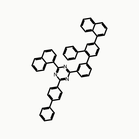 c1ccc(-c2ccc(-c3nc(-c4cccc(-c5ccc(-c6cccc7ccccc67)cc5-c5ccccc5)c4)nc(-c4cccc5ccccc45)n3)cc2)cc1